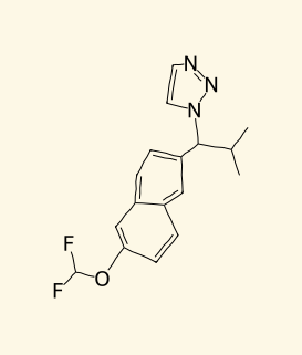 CC(C)C(c1ccc2cc(OC(F)F)ccc2c1)n1ccnn1